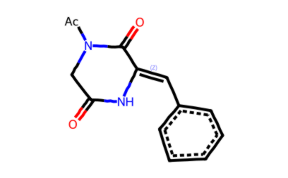 O=C1C[N]([Ac])C(=O)/C(=C/c2ccccc2)N1